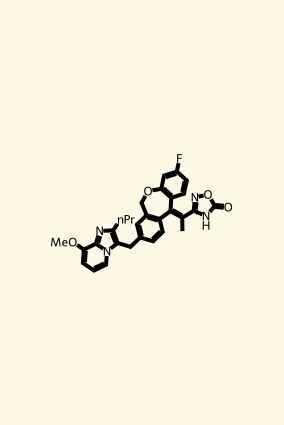 CCCc1nc2c(OC)cccn2c1Cc1ccc2c(c1)COc1cc(F)ccc1/C2=C(/C)c1noc(=O)[nH]1